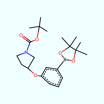 CC(C)(C)OC(=O)N1CCC(Oc2cccc(B3OC(C)(C)C(C)(C)O3)c2)C1